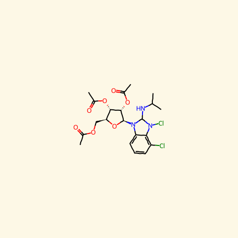 CC(=O)OC[C@@H]1O[C@H](N2c3cccc(Cl)c3N(Cl)C2NC(C)C)[C@@H](OC(C)=O)[C@H]1OC(C)=O